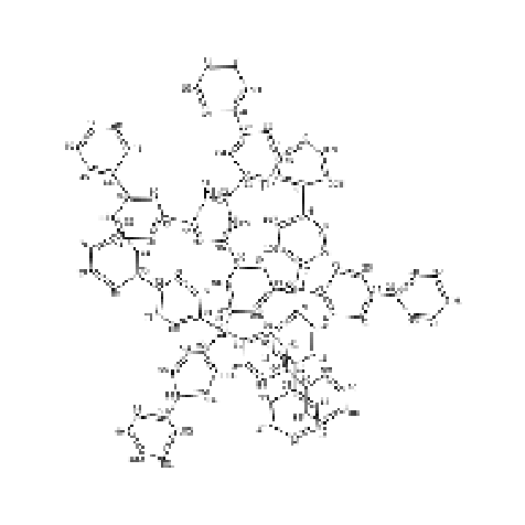 c1ccc(-c2ccc([Si](c3ccc(-c4ccccc4)cc3)(c3ccc(-c4ccccc4)cc3)c3cc(-c4cc(-c5cccc(-c6ccccc6)c5)nc(-c5cccc(-c6ccccc6)c5)n4)cc([Si](c4ccc(-c5ccccc5)cc4)(c4ccc(-c5ccccc5)cc4)c4ccc(-c5ccccc5)cc4)c3)cc2)cc1